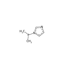 CP(C)n1ccnc1